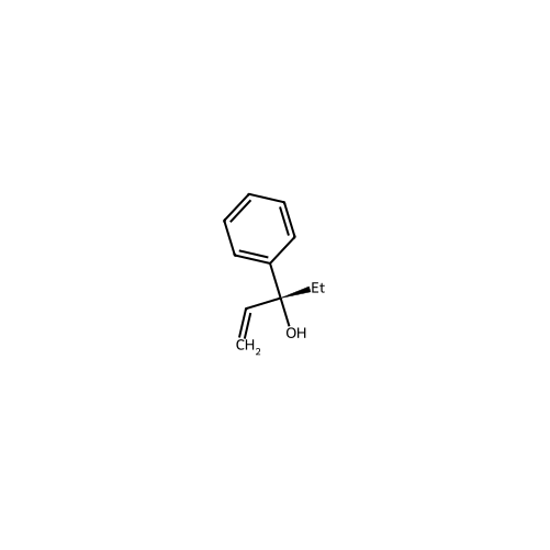 C=C[C@](O)(CC)c1ccccc1